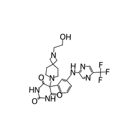 O=C1NC(=O)C(c2cccc(Nc3cnc(C(F)(F)F)cn3)c2)(N2CCC3(CC2)CN(CCO)C3)C(=O)N1